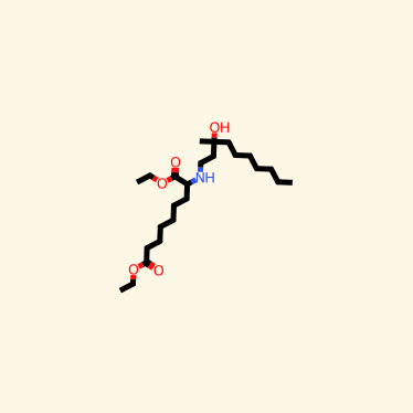 CCCCCCCC(C)(O)CCNC(CCCCCCC(=O)OCC)C(=O)OCC